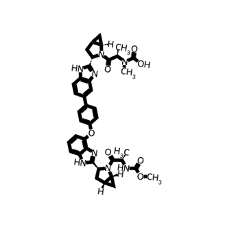 COC(=O)N[C@@H](C)C(=O)N1[C@@H]2C[C@@H]2C[C@H]1c1nc2c(Oc3ccc(-c4ccc5[nH]c([C@@H]6CC7C[C@H]7N6C(=O)[C@H](C)N(C)C(=O)O)nc5c4)cc3)cccc2[nH]1